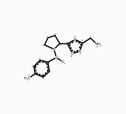 Cc1ccc([S+]([O-])N2CCCC2c2nc(CN)no2)cc1